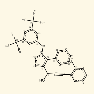 OC(C#Cc1ccccc1Cl)c1nnn(Cc2cc(C(F)(F)F)cc(C(F)(F)F)c2)c1-c1ccccc1